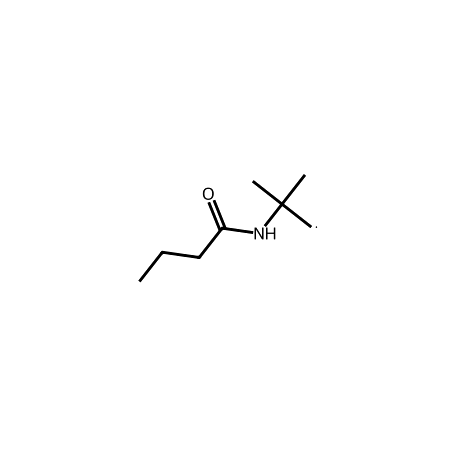 [CH2]C(C)(C)NC(=O)CCC